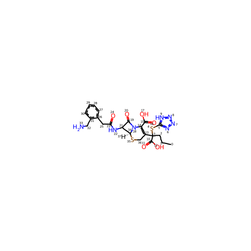 CCCC(Sc1nnn[nH]1)(C(=O)O)C1=C(C(=O)O)N2C(=O)C(NC(=O)Cc3ccccc3CN)[C@@H]2SC1